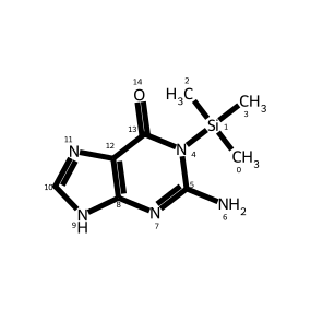 C[Si](C)(C)n1c(N)nc2[nH]cnc2c1=O